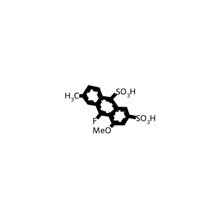 COc1cc(S(=O)(=O)O)cc2c(S(=O)(=O)O)c3ccc(C)cc3c(F)c12